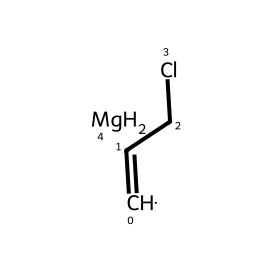 [CH]=CCCl.[MgH2]